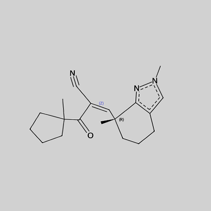 Cn1cc2c(n1)[C@@](C)(/C=C(/C#N)C(=O)C1(C)CCCC1)CCC2